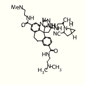 C=C(CN[C@@H](C)CC1(c2nnn[nH]2)c2ccc(C(=O)NCCNC)cc2CCc2cc(C(=O)NCCN(C)C)ccc21)N1C(C#N)C[C@@H]2C[C@@H]21